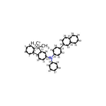 C[Si]1(C)c2ccccc2-c2ccc(N(c3ccccc3)c3ccc(-c4ccc5ccccc5c4)cc3)cc21